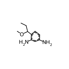 CCC(OC)c1ccc(N)cc1N